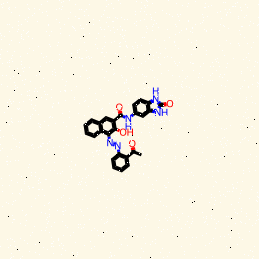 CC(=O)c1ccccc1/N=N/c1c(O)c(C(=O)Nc2ccc3[nH]c(=O)[nH]c3c2)cc2ccccc12